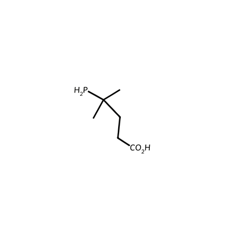 CC(C)(P)CCC(=O)O